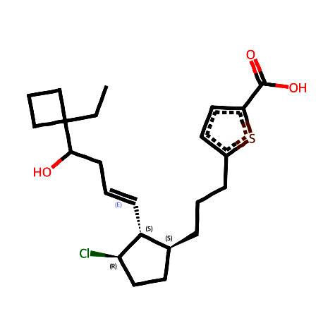 CCC1(C(O)C/C=C/[C@@H]2[C@@H](CCCc3ccc(C(=O)O)s3)CC[C@H]2Cl)CCC1